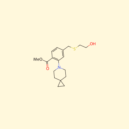 COC(=O)c1ccc(CSCCO)cc1N1CCC2(CC1)CC2